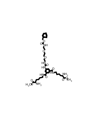 COC(=O)[C@@H](N)CCCCNC(=O)c1cc(NC(=O)NCCOCCOCCNC(=O)OCc2ccccc2)cc(C(=O)NCCCC[C@H](N)C(=O)OC)c1